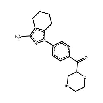 O=C(c1ccc(-n2nc(C(F)(F)F)c3c2CCCC3)cc1)C1CNCCO1